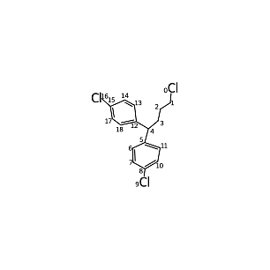 ClCCCC(c1ccc(Cl)cc1)c1ccc(Cl)cc1